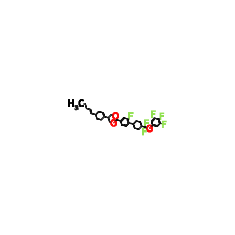 CCC/C=C/C1CCC(C2COC(c3ccc(C4CCC(C(F)(F)Oc5cc(F)c(F)c(F)c5)CC4)c(F)c3)OC2)CC1